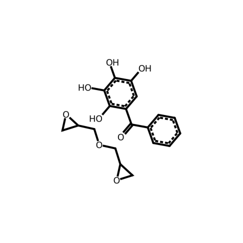 C(OCC1CO1)C1CO1.O=C(c1ccccc1)c1cc(O)c(O)c(O)c1O